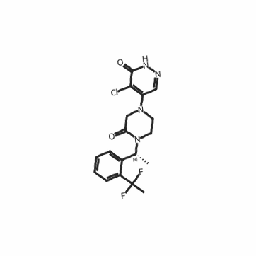 C[C@H](c1ccccc1C(C)(F)F)N1CCN(c2cn[nH]c(=O)c2Cl)CC1=O